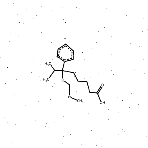 COCOC(CCCCC(=O)O)(c1ccccc1)C(C)C